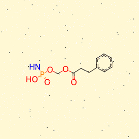 [NH]P(=O)(O)OCOC(=O)CCc1ccccc1